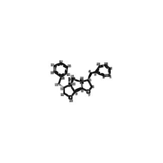 c1ccc(C[C@H]2COC3=C4OC[C@H](Cc5ccccc5)N4PN32)cc1